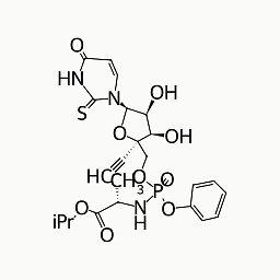 C#C[C@]1(COP(=O)(N[C@@H](C)C(=O)OC(C)C)Oc2ccccc2)O[C@@H](n2ccc(=O)[nH]c2=S)[C@@H](O)[C@H]1O